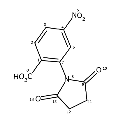 O=C(O)c1ccc([N+](=O)[O-])cc1N1C(=O)CCC1=O